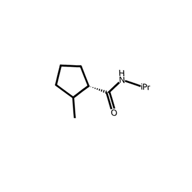 CC(C)NC(=O)[C@H]1CCCC1C